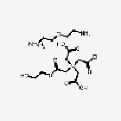 N.NCCOCCN.O=C(O)C[N+](CC(=O)O)(CC(=O)O)CC(=O)OCCO